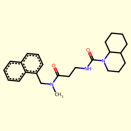 CN(Cc1cccc2ccccc12)C(=O)CCNC(=O)N1CCCC2CCCCC21